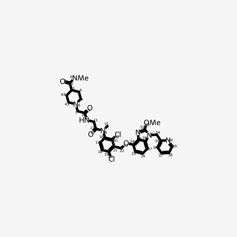 CNC(=O)C1CCN(CC(=O)NCC(=O)N(C)c2ccc(Cl)c(COc3cccc4c3nc(OC)n4Cc3ccccn3)c2Cl)CC1